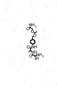 CC(OCC(N)=O)OCc1ccc(NC(=O)[C@H](C)NC(=O)[C@@H](N)C(C)C)cc1